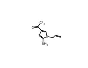 C=CCn1cc(C(=O)C(F)(F)F)cc1N